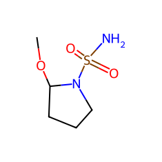 COC1CCCN1S(N)(=O)=O